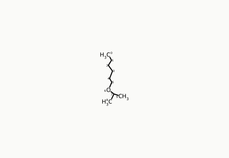 CCCCC[CH]OC(C)C